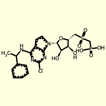 CC(Nc1nc(Cl)nc2c1ccn2[C@@H]1O[C@H](CS(=O)(=O)CP(=O)(O)O)[C@@H](O)[C@H]1O)c1ccccc1